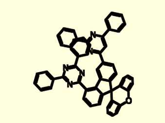 c1ccc(-c2cc(-c3ccc4c(c3)-c3c(-c5nc(-c6ccccc6)nc(-c6ccccc6)n5)cccc3C43c4ccccc4Oc4ccccc43)nc(-c3ccccc3)n2)cc1